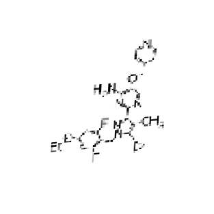 CCOc1cc(F)c(Cn2nc(-c3ncc(OCc4ccncc4)c(N)n3)c(C)c2C2CC2)c(F)c1